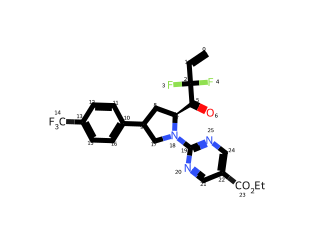 C=CC(F)(F)C(=O)[C@@H]1CC(c2ccc(C(F)(F)F)cc2)CN1c1ncc(C(=O)OCC)cn1